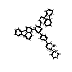 C1=C(c2ccc(-c3cc(-c4ccc5c6c(cccc46)-c4ccccc4-5)cc(-c4ccc5c6c(cccc46)-c4ccccc4-5)c3)cc2)CNC(c2ccccn2)=C1